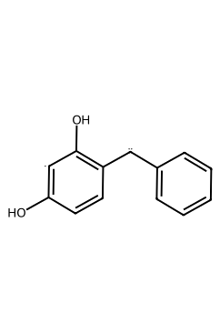 Oc1[c]c(O)c([C]c2ccccc2)cc1